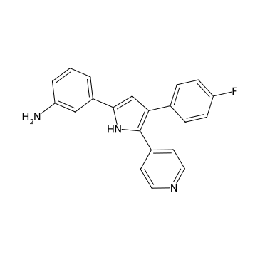 Nc1cccc(-c2cc(-c3ccc(F)cc3)c(-c3ccncc3)[nH]2)c1